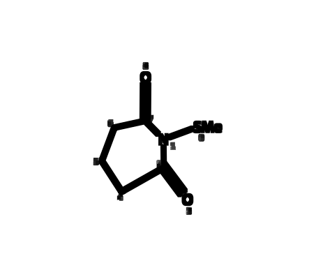 CSN1C(=O)CCCC1=O